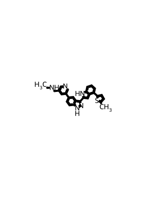 CCNCc1cncc(-c2ccc3[nH]nc(-c4cc5c(-c6ccc(C)s6)cccc5[nH]4)c3c2)c1